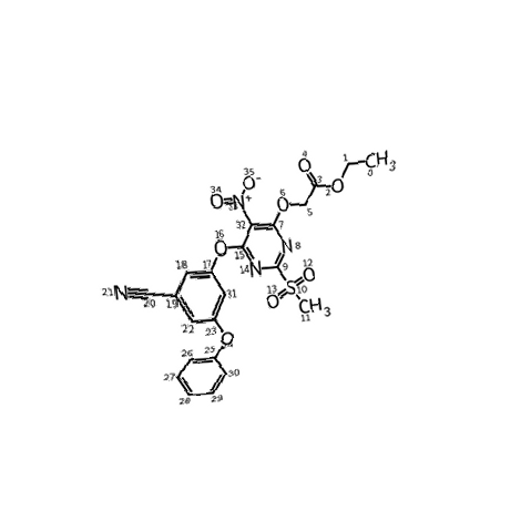 CCOC(=O)COc1nc(S(C)(=O)=O)nc(Oc2cc(C#N)cc(Oc3ccccc3)c2)c1[N+](=O)[O-]